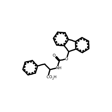 O=C(NC(Cc1ccccc1)C(=O)O)OC1c2ccccc2-c2ccccc21